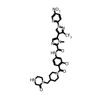 Cn1c(-c2cn(-c3ccc([N+](=O)[O-])cn3)nc2C(F)(F)F)cnc1C(=O)Nc1ccc(C(=O)N2CCC(CN3CCNCC3=O)CC2)c(Cl)c1